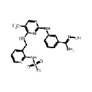 CCS(=O)(=O)Nc1ncccc1CNc1nc(Nc2cccc(C(N)=NO)c2)ncc1C(F)(F)F